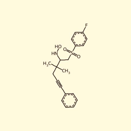 CC(C)(CC#Cc1ccccc1)C(CS(=O)(=O)c1ccc(F)cc1)NO